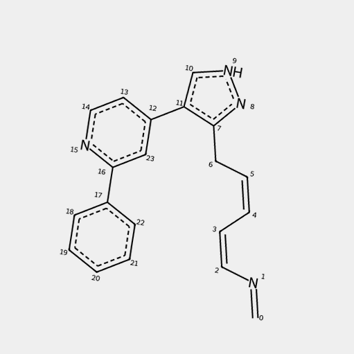 C=N/C=C\C=C/Cc1n[nH]cc1-c1ccnc(-c2ccccc2)c1